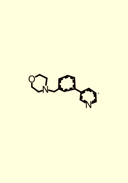 [c]1cncc(-c2cccc(CN3CCOCC3)c2)c1